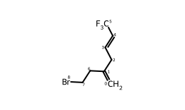 C=C(CC=CC(F)(F)F)CCBr